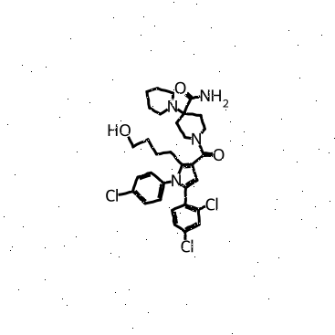 NC(=O)C1(N2CCCCC2)CCN(C(=O)c2cc(-c3ccc(Cl)cc3Cl)n(-c3ccc(Cl)cc3)c2CCCCO)CC1